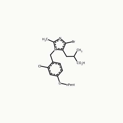 CCCCCOc1ccc(Cn2c(C)nc(Br)c2CC(C)C(=O)O)c(Cl)c1